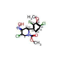 COC(=O)N1CC(Cl)C(=NO)C=C1c1ccc(Cl)c(OC)c1F